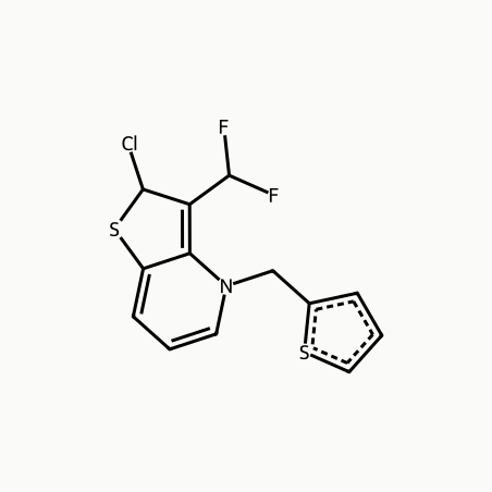 FC(F)C1=C2C(=CC=CN2Cc2cccs2)SC1Cl